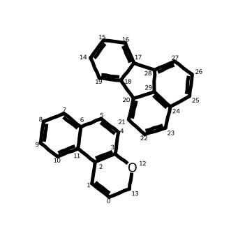 C1=Cc2c(ccc3ccccc23)OC1.c1ccc2c(c1)-c1cccc3cccc-2c13